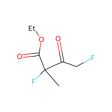 CCOC(=O)C(C)(F)C(=O)CF